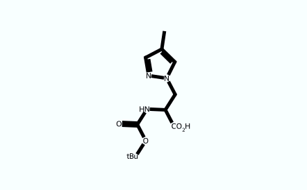 Cc1cnn(CC(NC(=O)OC(C)(C)C)C(=O)O)c1